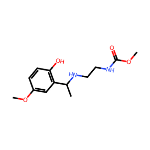 COC(=O)NCCNC(C)c1cc(OC)ccc1O